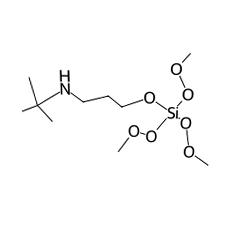 COO[Si](OCCCNC(C)(C)C)(OOC)OOC